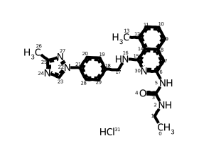 CCNC(=O)Nc1cc2cccc(C)c2c(NCc2ccc(-n3cnc(C)n3)cc2)n1.Cl